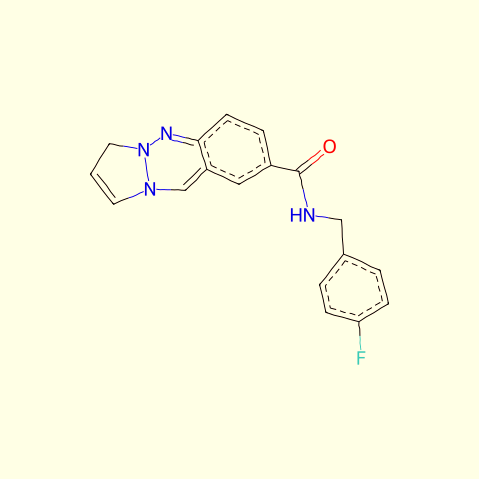 O=C(NCc1ccc(F)cc1)c1ccc2c(c1)=CN1C=CCN1N=2